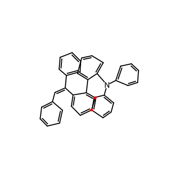 C(=C(c1ccccc1)c1ccccc1-c1ccccc1N(c1ccccc1)c1ccccc1)c1ccccc1